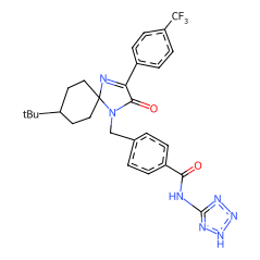 CC(C)(C)C1CCC2(CC1)N=C(c1ccc(C(F)(F)F)cc1)C(=O)N2Cc1ccc(C(=O)Nc2nn[nH]n2)cc1